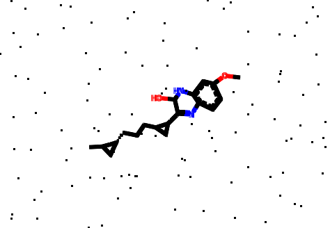 COc1ccc2c(c1)NC(O)C(C1CC1CCC[C@@H]1CC1C)=N2